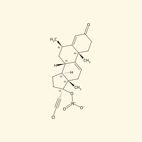 C[C@@H]1C[C@@H]2C(=CC[C@@]3(C)[C@H]2CC[C@]3(C#CCl)O[N+](=O)[O-])[C@@]2(C)CCC(=O)C=C12